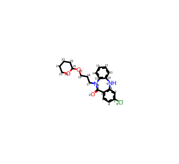 O=C1c2ccc(Cl)cc2Nc2ccccc2N1CCCOC1CCCCO1